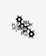 CC(C)(C)C(c1ccccc1)[C@@H](N)C[C@@H](O)[C@H](Cc1ccccc1)NC(=O)O